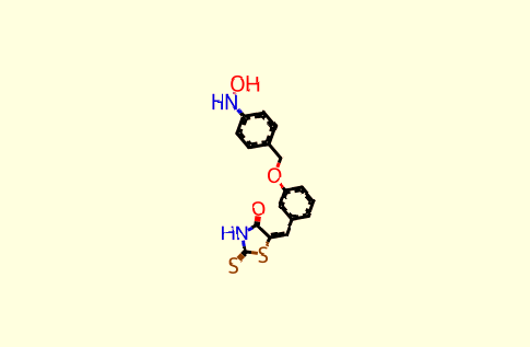 O=C1NC(=S)S/C1=C/c1cccc(OCc2ccc(NO)cc2)c1